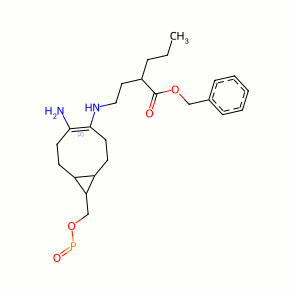 CCCC(CCN/C1=C(\N)CCC2C(CC1)C2COP=O)C(=O)OCc1ccccc1